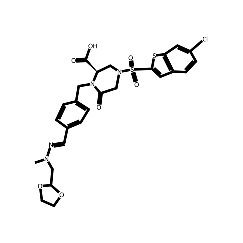 CN(CC1OCCO1)/N=C/c1ccc(CN2C(=O)CN(S(=O)(=O)c3cc4ccc(Cl)cc4s3)C[C@@H]2C(=O)O)cc1